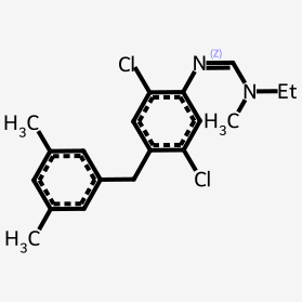 CCN(C)/C=N\c1cc(Cl)c(Cc2cc(C)cc(C)c2)cc1Cl